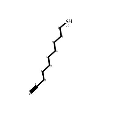 C#CCCCCCCCCS